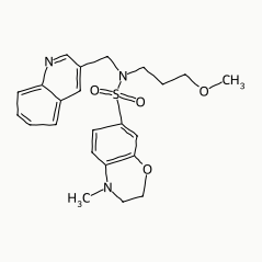 COCCCN(Cc1cnc2ccccc2c1)S(=O)(=O)c1ccc2c(c1)OCCN2C